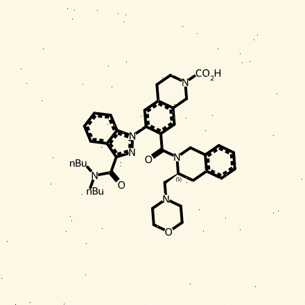 CCCCN(CCCC)C(=O)c1nn(-c2cc3c(cc2C(=O)N2Cc4ccccc4C[C@H]2CN2CCOCC2)CN(C(=O)O)CC3)c2ccccc12